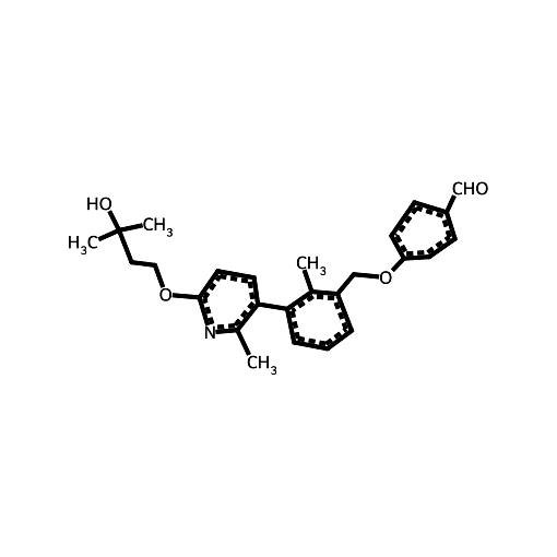 Cc1nc(OCCC(C)(C)O)ccc1-c1cccc(COc2ccc(C=O)cc2)c1C